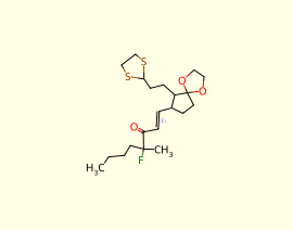 CCCCC(C)(F)C(=O)/C=C/C1CCC2(OCCO2)C1CCC1SCCS1